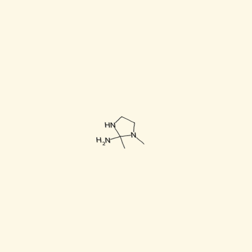 CN1CCNC1(C)N